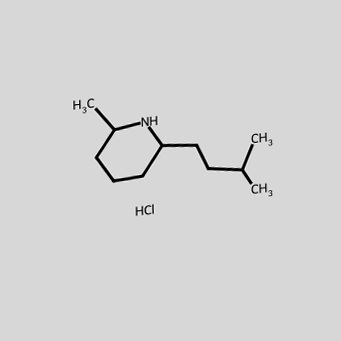 CC(C)CCC1CCCC(C)N1.Cl